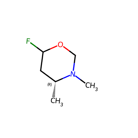 C[C@@H]1CC(F)OCN1C